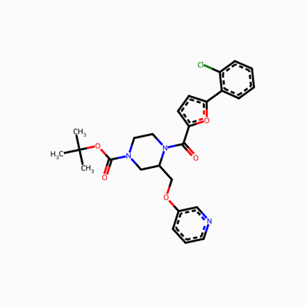 CC(C)(C)OC(=O)N1CCN(C(=O)c2ccc(-c3ccccc3Cl)o2)C(COc2cccnc2)C1